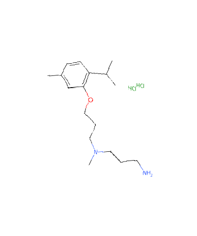 Cc1ccc(C(C)C)c(OCCCN(C)CCCN)c1.Cl.Cl